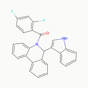 O=C(c1ccc(F)cc1F)N1c2ccccc2-c2ccccc2C1c1c[nH]c2ccccc12